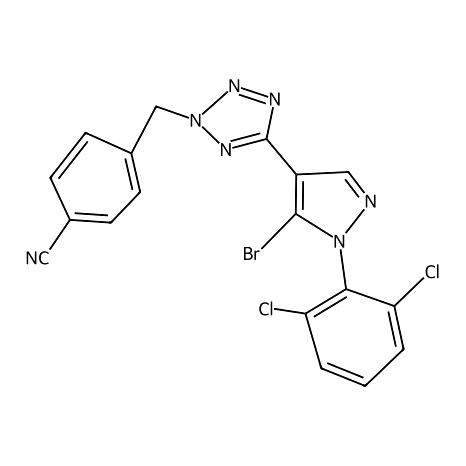 N#Cc1ccc(Cn2nnc(-c3cnn(-c4c(Cl)cccc4Cl)c3Br)n2)cc1